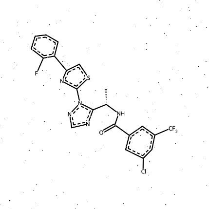 C[C@H](NC(=O)c1cc(Cl)cc(C(F)(F)F)c1)c1ncnn1-c1nc(-c2ccccc2F)cs1